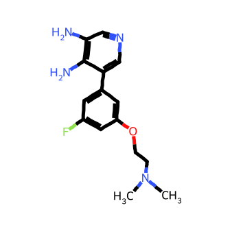 CN(C)CCOc1cc(F)cc(-c2cncc(N)c2N)c1